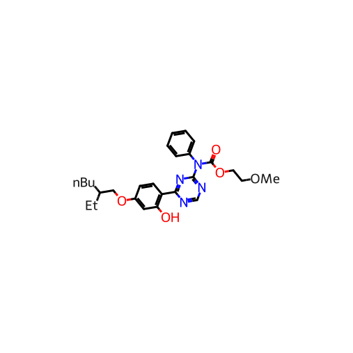 CCCCC(CC)COc1ccc(-c2ncnc(N(C(=O)OCCOC)c3ccccc3)n2)c(O)c1